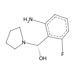 Nc1cccc(F)c1[C@H](O)N1CCCC1